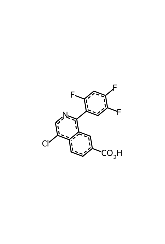 O=C(O)c1ccc2c(Cl)cnc(-c3cc(F)c(F)cc3F)c2c1